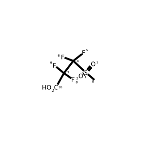 CS(=O)(=O)C(F)(F)C(F)(F)C(=O)O